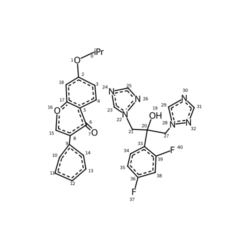 CC(C)Oc1ccc2c(=O)c(-c3ccccc3)coc2c1.OC(Cn1cncn1)(Cn1cncn1)c1ccc(F)cc1F